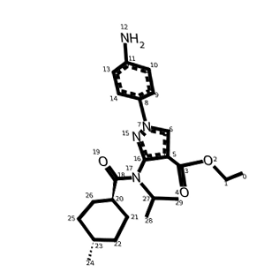 CCOC(=O)c1cn(-c2ccc(N)cc2)nc1N(C(=O)[C@H]1CC[C@H](C)CC1)C(C)C